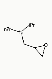 CCCN(CC1CO1)C(C)C